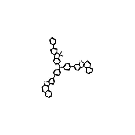 CC1(C)c2cc(-c3ccccc3)ccc2-c2ccc(N(c3ccc(-c4ccc5c(c4)oc4ccc6ccccc6c45)cc3)c3ccc(-c4ccc5c(c4)oc4ccc6ccccc6c45)cc3)cc21